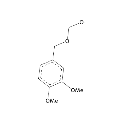 COc1ccc(COC[O])cc1OC